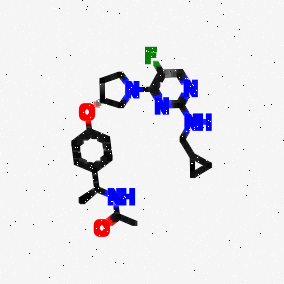 CC(=O)N[C@@H](C)c1ccc(O[C@@H]2CCN(c3nc(NCC4CC4)ncc3F)C2)cc1